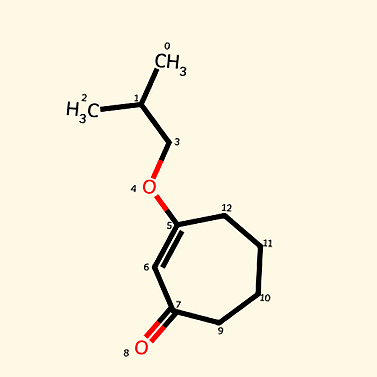 CC(C)COC1=CC(=O)CCCC1